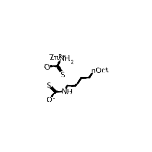 CCCCCCCCCCCCNC([O-])=S.NC([O-])=S.[Zn+2]